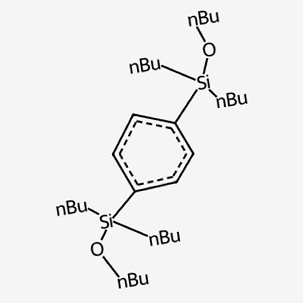 CCCCO[Si](CCCC)(CCCC)c1ccc([Si](CCCC)(CCCC)OCCCC)cc1